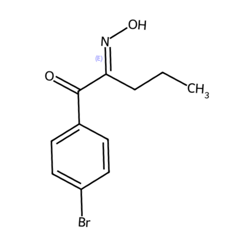 CCC/C(=N\O)C(=O)c1ccc(Br)cc1